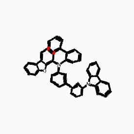 c1ccc(-c2ccccc2N(c2cccc(-c3cccc(-n4c5ccccc5c5ccccc54)c3)c2)c2cccc3c2oc2ccccc23)cc1